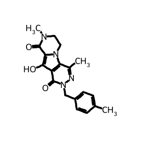 Cc1ccc(Cn2nc(C)c3c(c(O)c4n3CCN(C)C4=O)c2=O)cc1